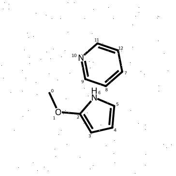 COc1ccc[nH]1.c1ccncc1